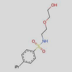 CC(C)c1ccc(S(=O)(=O)NCCOCCO)cc1